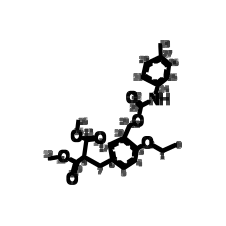 CCOc1ccc(CC(C(=O)OC)C(=O)OC)cc1COC(=O)Nc1ccc(C)cc1